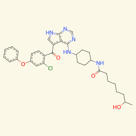 CC(O)CCCCCC(=O)NC1CCC(Nc2ncnc3[nH]cc(C(=O)c4ccc(Oc5ccccc5)cc4Cl)c23)CC1